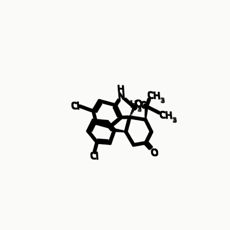 CC(C)(C)[C@H]1CC(=O)C[C@@H](c2cccc(Cl)c2)[C@]12C(=O)Nc1cc(Cl)ccc12